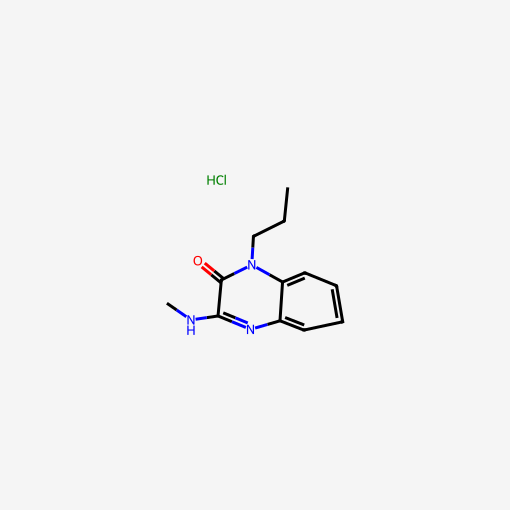 CCCn1c(=O)c(NC)nc2ccccc21.Cl